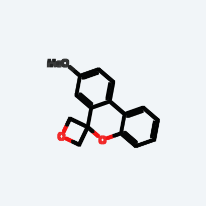 COc1ccc2c(c1)C1(COC1)Oc1ccccc1-2